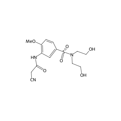 COc1ccc(S(=O)(=O)N(CCO)CCO)cc1NC(=O)CC#N